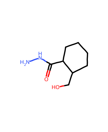 NNC(=O)C1CCCCC1CO